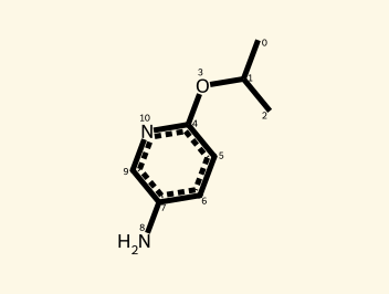 CC(C)Oc1ccc(N)cn1